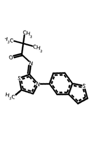 Cc1cn(-c2ccc3sccc3c2)/c(=N/C(=O)C(C)(C)C)s1